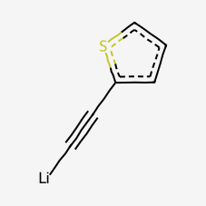 [Li][C]#Cc1cccs1